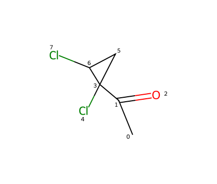 CC(=O)C1(Cl)CC1Cl